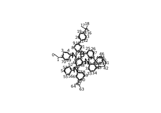 CCc1ccc(N2c3ccc(-c4ccc(C(C)(C)C)cc4)cc3B3c4cccc5c4N(c4ccccc4C54C5CC6CC(C5)CC4C6)c4cc(N(c5ccccc5)c5cccc(C(C)C)c5)cc2c43)cc1